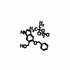 CC(C)(C)OC=O.OCc1cc2[nH]ccc2cc1OCc1ccccc1